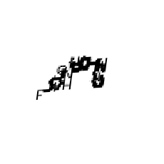 Cn1ncc(-c2ccc3nnc(NC(=O)C4CCN(CCF)CC4)cc3c2)c1CN1CCCCC1